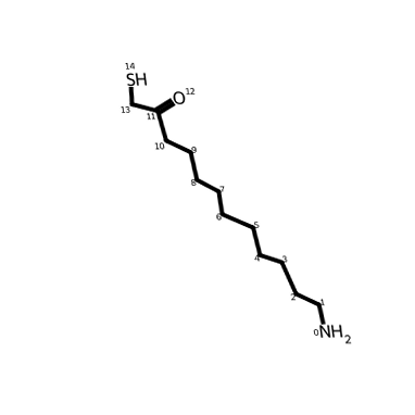 NCCCCCCCCCCC(=O)CS